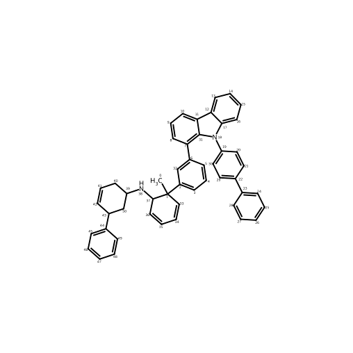 CC1(c2cccc(-c3cccc4c5ccccc5n(-c5ccc(-c6ccccc6)cc5)c34)c2)C=CC=CC1NC1CC=CC(c2ccccc2)C1